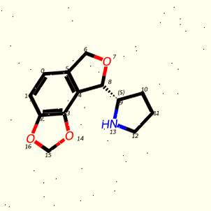 c1cc2c(c3c1COC3[C@@H]1CCCN1)OCO2